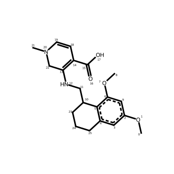 COc1cc2c(c(OC)c1)C(CNC1=C(C(=O)O)C=CN(C)C1)CCC2